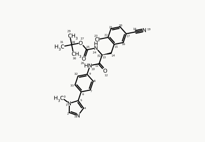 Cn1cncc1-c1ccc(NC(=O)[C@H](Cc2cc(C#N)ccc2Cl)NC(=O)OC(C)(C)C)cc1